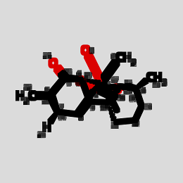 C=C1C(=O)[C@@]23CC[C@@H](CC2[C@@]24CCC[C@@](C)(COC2=O)C14)C(=C)C3=O